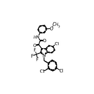 COc1cccc(NC(=O)C(=O)c2c(C(F)(F)F)n(Cc3ccc(Cl)cc3Cl)c3ccc(Cl)cc23)c1